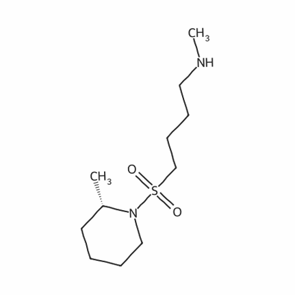 CNCCCCS(=O)(=O)N1CCCC[C@@H]1C